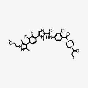 COCCn1nc(C)c(-c2ccc(-c3cnc(C(=O)Nc4ccc(C(=O)N5CCN(C(=O)CI)CC5)c(Cl)c4)n3C)c(F)c2F)c1C